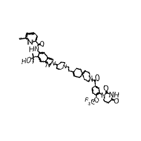 Cc1cccc(C(=O)Nc2cc3cn(C4CCN(CCC5CCC6(CC5)CCN(C(=O)c5ccc(OC(F)(F)F)c(N7CCC(=O)NC7=O)c5)CC6)CC4)nc3cc2C(C)(C)O)n1